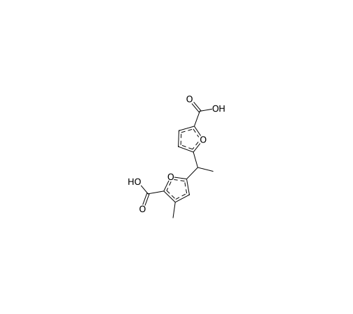 Cc1cc(C(C)c2ccc(C(=O)O)o2)oc1C(=O)O